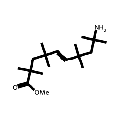 COC(=O)C(C)(C)CC(C)(C)/C=C/C(C)(C)CC(C)(C)N